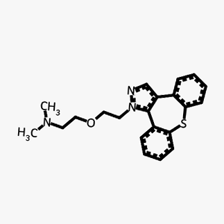 CN(C)CCOCCn1ncc2c1-c1ccccc1Sc1ccccc1-2